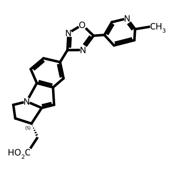 Cc1ccc(-c2nc(-c3ccc4c(c3)cc3n4CC[C@H]3CC(=O)O)no2)cn1